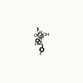 CCC[C@@H](C(=O)N[C@H]1CC[C@@H]2CN(Cc3ccc(F)cc3)C[C@@H]21)N(C)C(=O)O